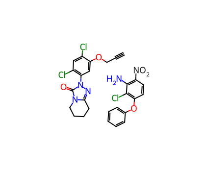 C#CCOc1cc(-n2nc3n(c2=O)CCCC3)c(Cl)cc1Cl.Nc1c([N+](=O)[O-])ccc(Oc2ccccc2)c1Cl